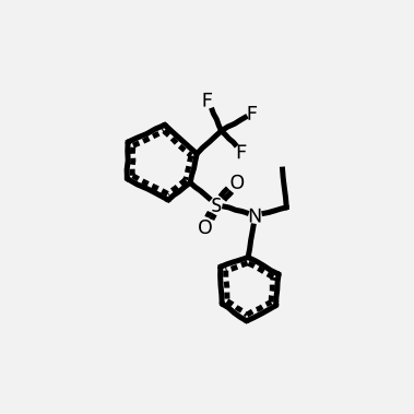 CCN(c1ccccc1)S(=O)(=O)c1ccccc1C(F)(F)F